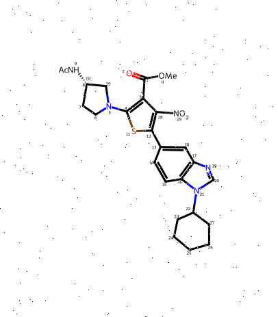 COC(=O)c1c(N2CC[C@H](NC(C)=O)C2)sc(-c2ccc3c(c2)ncn3C2CCCCC2)c1[N+](=O)[O-]